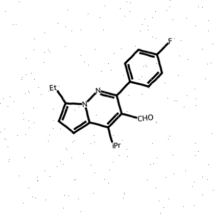 CCc1ccc2c(C(C)C)c(C=O)c(-c3ccc(F)cc3)nn12